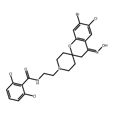 O=C(NCCN1CCC2(CC1)C/C(=N/O)c1cc(Cl)c(Br)cc1O2)c1c(Cl)cccc1Cl